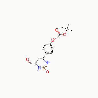 CN1C(C=O)CC(c2ccc(OCC(=O)OC(C)(C)C)cc2)N[S+]1[O-]